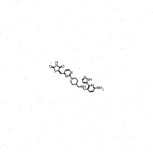 Nc1ccc(CNCC2CCN(c3nccc(/C=C4/SC(=O)NC4=O)n3)CC2)c(-c2ccn[nH]2)n1